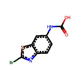 O=C(O)Nc1ccc2nc(Br)sc2c1